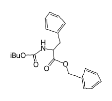 CC(C)COC(=O)NC(Cc1ccccc1)C(=O)OCc1ccccc1